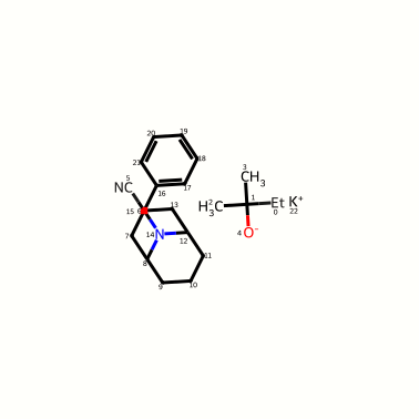 CCC(C)(C)[O-].N#CC1CC2CCCC(C1)N2Cc1ccccc1.[K+]